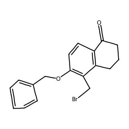 O=C1CCCc2c1ccc(OCc1ccccc1)c2CBr